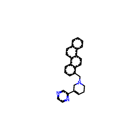 C1=C(c2cnccn2)CN(Cc2cccc3c2ccc2c4ccccc4ccc32)CC1